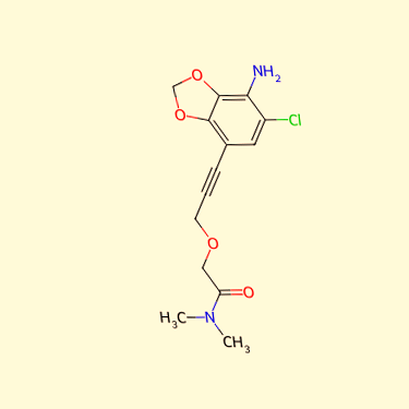 CN(C)C(=O)COCC#Cc1cc(Cl)c(N)c2c1OCO2